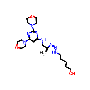 C=C(CNc1cc(N2CCOCC2)nc(N2CCOCC2)n1)/N=N\NCCCCCO